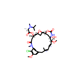 COc1cc2cc(c1Cl)N(C)C(=O)C[C@H](OC(=O)[C@H](C)N(C)C(C)C)[C@@]1(C)CC(C)(O1)[C@@H]1C[C@@](O)(NC(=O)O1)[C@H](OC)/C=C/C=C(\C)C2